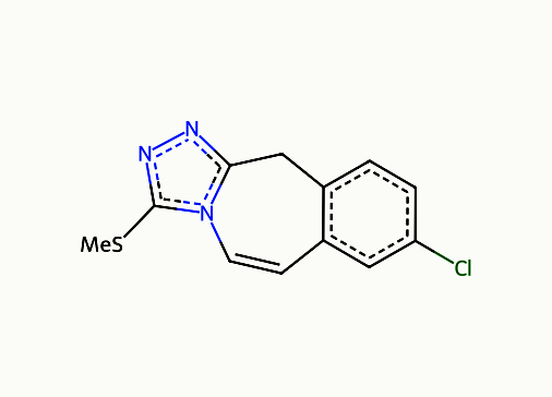 CSc1nnc2n1C=Cc1cc(Cl)ccc1C2